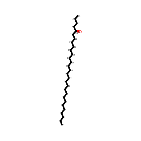 CCCCCCCCCCCCCCCCCCCCCCCCC(=O)CCCC